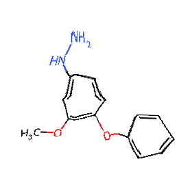 COc1cc(NN)ccc1Oc1ccccc1